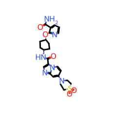 NC(=O)c1cccnc1O[C@H]1CC[C@H](NC(=O)c2cnc3cc(N4CCS(=O)(=O)CC4)ccn23)CC1